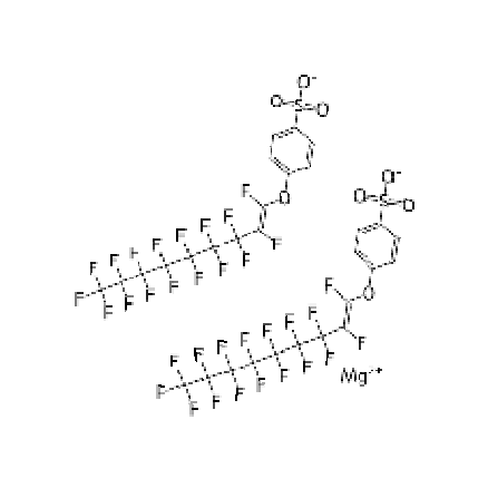 O=S(=O)([O-])c1ccc(OC(F)=C(F)C(F)(F)C(F)(F)C(F)(F)C(F)(F)C(F)(F)C(F)(F)C(F)(F)F)cc1.O=S(=O)([O-])c1ccc(OC(F)=C(F)C(F)(F)C(F)(F)C(F)(F)C(F)(F)C(F)(F)C(F)(F)C(F)(F)F)cc1.[Mg+2]